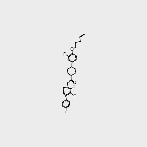 C=CCCCOc1ccc(C2CCC(C(=O)Oc3ccc(-c4ccc(C)cc4)c(F)c3F)CC2)cc1F